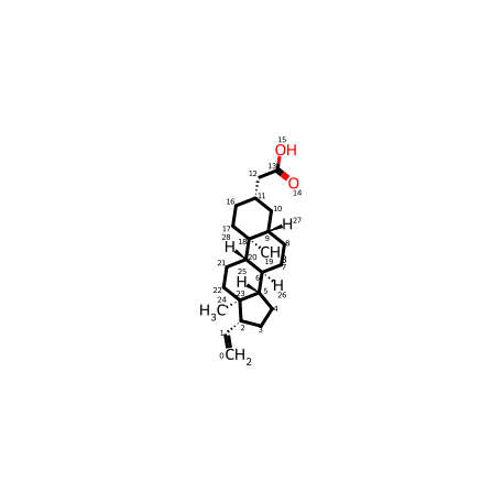 C=C[C@H]1CC[C@H]2[C@@H]3CC[C@H]4C[C@@H](CC(=O)O)CC[C@]4(C)[C@H]3CC[C@]12C